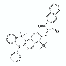 CC1(C)c2ccccc2N(c2ccccc2)c2ccc3c([Si](C)(C)C)c(C=C4C(=O)c5cc6ccccc6cc5C4=O)ccc3c21